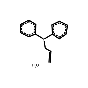 C=CCP(c1ccccc1)c1ccccc1.O